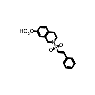 O=C(O)c1ccc2c(c1)CN(S(=O)(=O)C=Cc1ccccc1)CC2